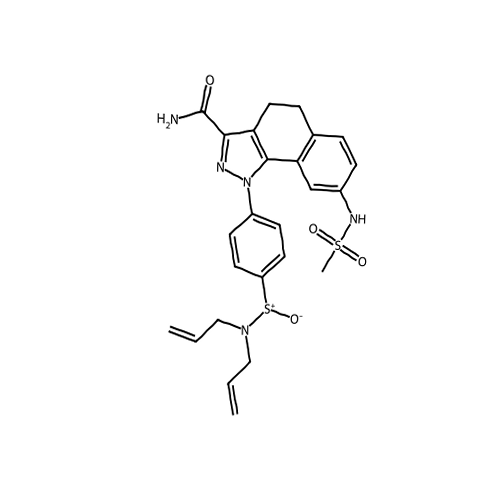 C=CCN(CC=C)[S+]([O-])c1ccc(-n2nc(C(N)=O)c3c2-c2cc(NS(C)(=O)=O)ccc2CC3)cc1